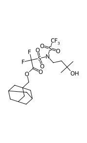 CC(C)(O)CCN(S(=O)(=O)C(F)(F)F)S(=O)(=O)C(F)(F)C(=O)OCC12CC3CC(CC(C3)C1)C2